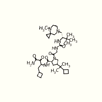 CN1CCN(C[C@@H](NC(=O)NCC(=O)N2CC(C(C)(C)C3CCC3)C[C@H]2C(=O)NC(CC2CCC2)C(=O)C(N)=O)C(C)(C)C)CC12CC2